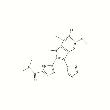 COc1cc2c(-n3ccnc3)c(-c3nnc(C(=O)N(C)C)[nH]3)n(C)c2c(C)c1Cl